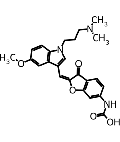 COc1ccc2c(c1)c(C=C1Oc3cc(NC(=O)O)ccc3C1=O)cn2CCCN(C)C